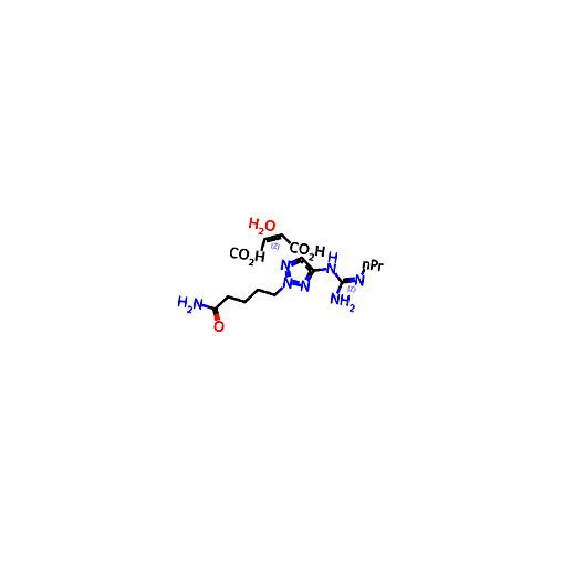 CCC/N=C(/N)Nc1cnn(CCCCC(N)=O)n1.O.O=C(O)/C=C\C(=O)O